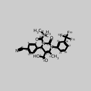 CC1=C(C(=O)O)C(c2ccc(C#N)cc2)N(C(=O)N(C)C)C(=O)N1c1cccc(C(F)(F)F)c1